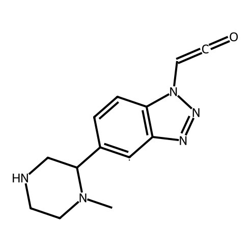 CN1CCNCC1c1[c]c2nnn(C=C=O)c2cc1